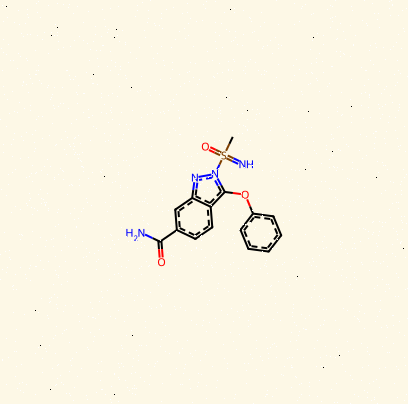 CS(=N)(=O)n1nc2cc(C(N)=O)ccc2c1Oc1ccccc1